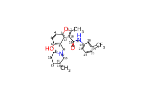 Cc1oc2ccc(O)c(CN3CCC[C@@H](C)C3)c2c1C(=O)Nc1cccc(C(F)(F)F)c1